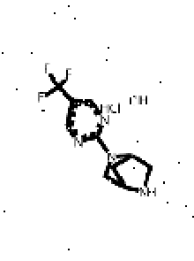 Cl.Cl.FC(F)(F)c1cnc(N2CC3CC2CN3)nc1